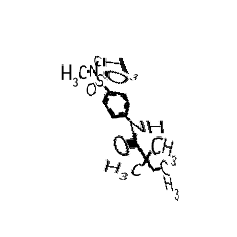 CCC(C)(C)C(=O)Nc1ccc(S(=O)(=O)N(C)C)cc1